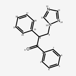 O=C(c1ccccc1)C(Cn1cncn1)c1ccccc1